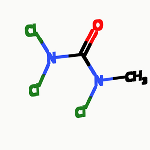 CN(Cl)C(=O)N(Cl)Cl